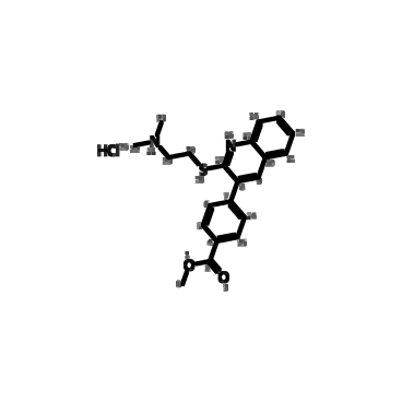 COC(=O)c1ccc(-c2cc3ccccc3nc2SCCN(C)C)cc1.Cl